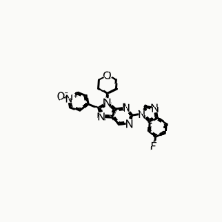 [O-][n+]1ccc(-c2nc3cnc(-n4cnc5ccc(F)cc54)nc3n2C2CCOCC2)cc1